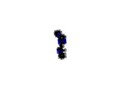 Cc1c(/C=C/c2cnc3ccc(N4CCCCC4)cc3n2)cnn1-c1ccccc1